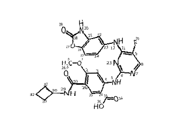 COc1cc(Nc2ncc(F)c(Nc3ccc4oc(=O)[nH]c4c3)n2)ccc1C(=O)NC1CCC1.O=CO